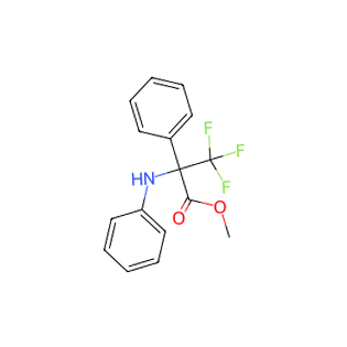 COC(=O)C(Nc1ccccc1)(c1ccccc1)C(F)(F)F